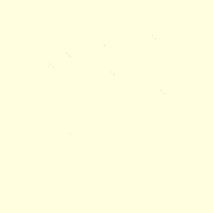 C=C/C=C\C(=C/C)c1ccc2[nH]nc(-c3nc4c(-c5ccccn5)cncc4[nH]3)c2c1